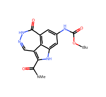 CNC(=O)c1[nH]c2cc(NC(=O)OC(C)(C)C)cc3c2c1C=NNC3=O